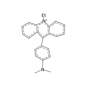 CC[n+]1c2ccccc2c(-c2ccc(N(C)C)cc2)c2ccccc21